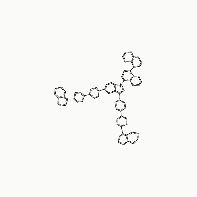 c1ccc2c(-c3ccc(-c4ccc(-c5ccc6c(c5)c(-c5ccc(-c7ccc(-c8cccc9ccccc89)cc7)cc5)cn6-c5ccc(-c6cccc7ccccc67)c6ccccc56)cc4)cc3)cccc2c1